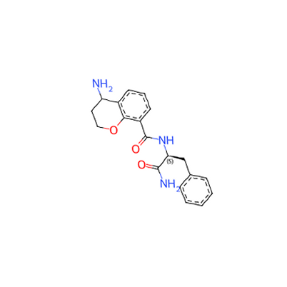 NC(=O)[C@H](Cc1ccccc1)NC(=O)c1cccc2c1OCCC2N